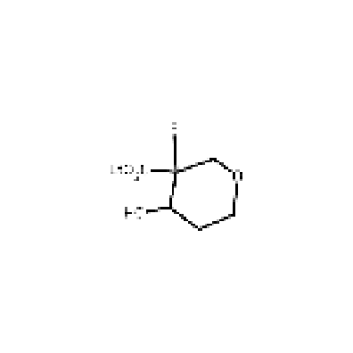 CCOC(=O)C1(F)COCCC1O